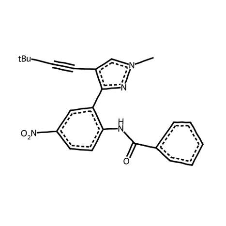 Cn1cc(C#CC(C)(C)C)c(-c2cc([N+](=O)[O-])ccc2NC(=O)c2ccccc2)n1